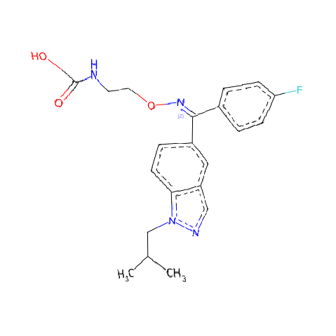 CC(C)Cn1ncc2cc(/C(=N\OCCNC(=O)O)c3ccc(F)cc3)ccc21